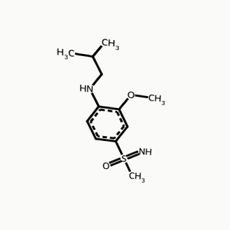 COc1cc(S(C)(=N)=O)ccc1NCC(C)C